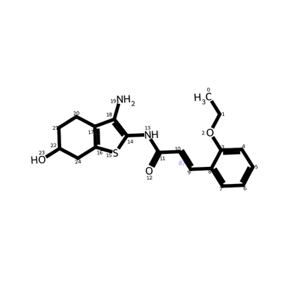 CCOc1ccccc1/C=C/C(=O)Nc1sc2c(c1N)CCC(O)C2